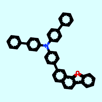 c1ccc(-c2ccc(N(c3ccc(-c4ccccc4)cc3)c3ccc(-c4ccc5ccc6c7ccccc7oc6c5c4)cc3)cc2)cc1